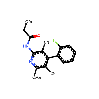 COc1nc(NC(=O)COC(C)=O)c(C#N)c(-c2ccccc2F)c1C#N